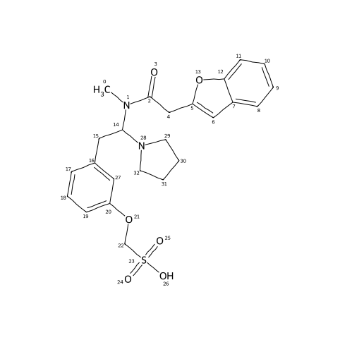 CN(C(=O)Cc1cc2ccccc2o1)C(Cc1cccc(OCS(=O)(=O)O)c1)N1CCCC1